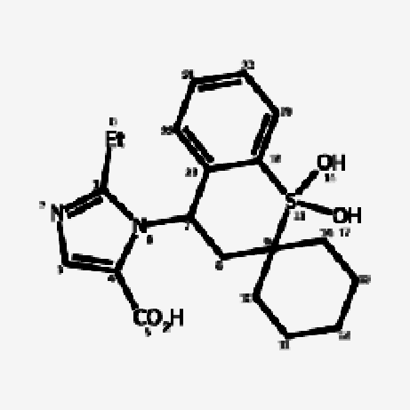 CCc1ncc(C(=O)O)n1C1CC2(CCCCC2)S(O)(O)c2ccccc21